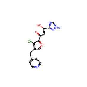 O=C(C=C(O)c1nc[nH]n1)c1occ(Cc2ccncc2)c1Cl